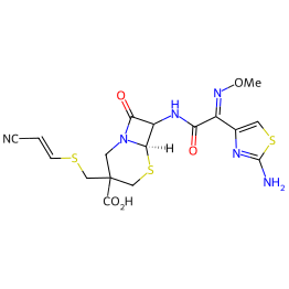 CON=C(C(=O)NC1C(=O)N2CC(CSC=CC#N)(C(=O)O)CS[C@H]12)c1csc(N)n1